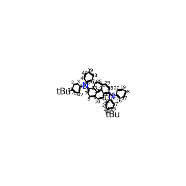 CC(C)(C)c1ccc(N(C2=CC=c3ccc4c(N(c5ccccc5)c5ccc(C(C)(C)C)cc5)ccc5c4c3C2CC=5)c2ccccc2)cc1